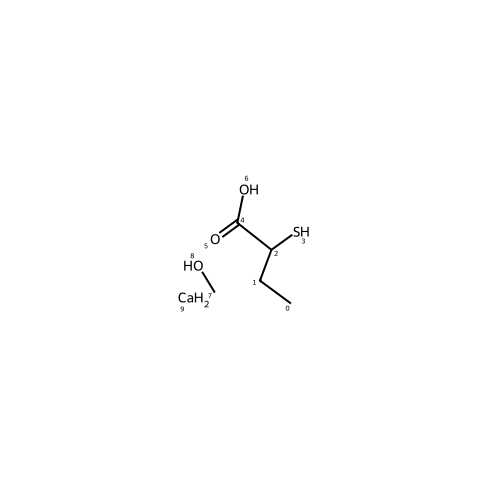 CCC(S)C(=O)O.CO.[CaH2]